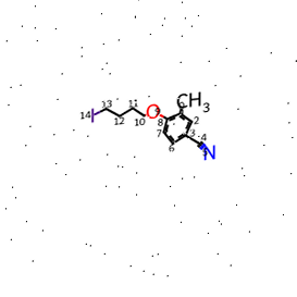 Cc1cc(C#N)ccc1OCCCCI